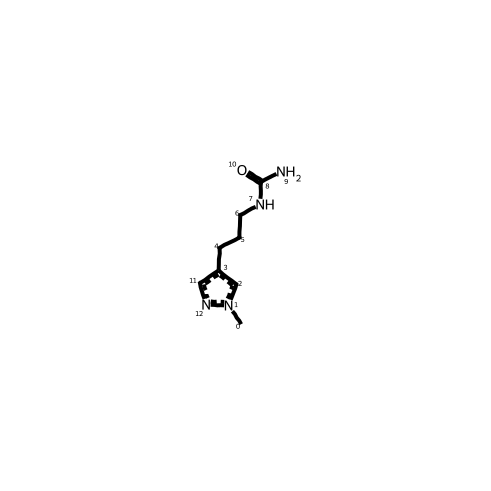 Cn1cc(CCCNC(N)=O)cn1